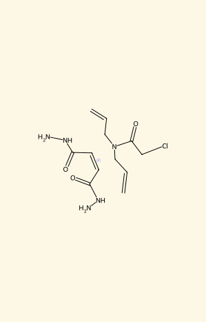 C=CCN(CC=C)C(=O)CCl.NNC(=O)/C=C\C(=O)NN